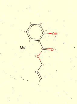 C=CCOC(=O)c1ccccc1O.[Mo]